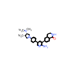 C[C@H]1CN(c2ccc(-c3cnc(N)c(-c4ccc5c(c4)CCNC5=O)c3)cc2)C[C@H]1N(C)C